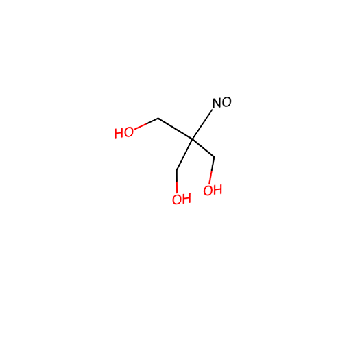 O=NC(CO)(CO)CO